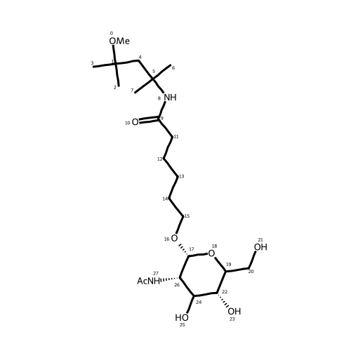 COC(C)(C)CC(C)(C)NC(=O)CCCCCO[C@@H]1OC(CO)[C@H](O)C(O)[C@@H]1NC(C)=O